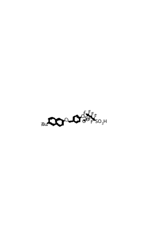 CCC(C)c1ccc2cc(OCc3ccc(OS(=O)(=O)C(F)(F)C(F)(F)C(F)(F)S(=O)(=O)O)cc3)ccc2c1